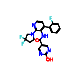 O=C(Nc1c(-c2ccccc2F)ccnc1N1CCC(F)(F)C1)c1cnc(O)nc1